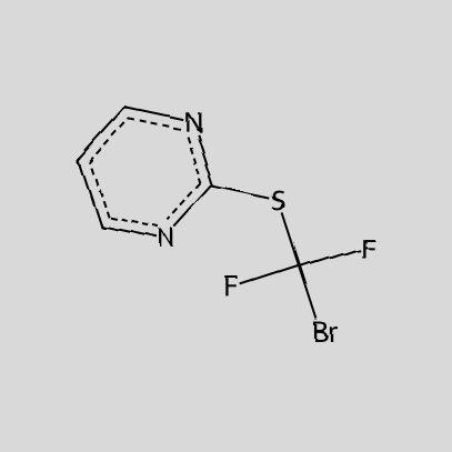 FC(F)(Br)Sc1ncccn1